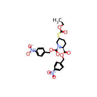 CCOC(=O)S[C@H]1CC[C@@H](C(=O)OCc2ccc([N+](=O)[O-])cc2)N(C(=O)OCc2ccc([N+](=O)[O-])cc2)C1